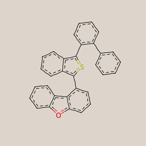 c1ccc(-c2ccccc2-c2sc(-c3cccc4oc5ccccc5c34)c3ccccc23)cc1